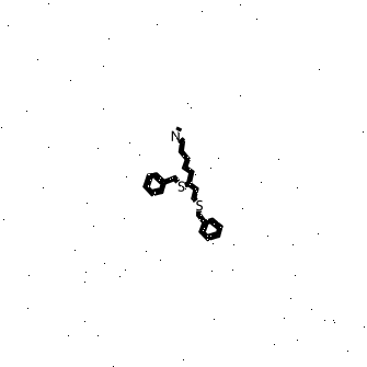 C/N=C/CCCCC(CCSCc1ccccc1)SCc1ccccc1